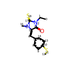 CCN1C(=O)/C(=C\c2ccc(SC)cc2)N(C)C1=S